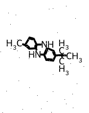 Cc1ccc2c(c1)Nc1ccc(C(C)(C)C)cc1N2